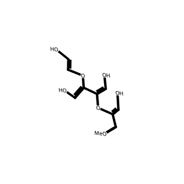 COCC(=CO)OC(=CO)C(=CO)OC=CO